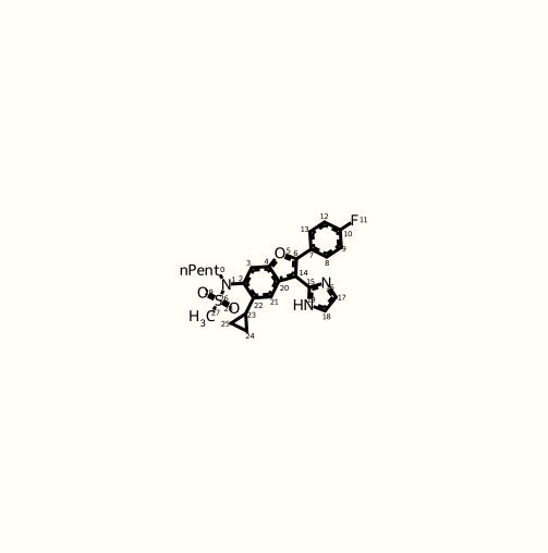 CCCCCN(c1cc2oc(-c3ccc(F)cc3)c(-c3ncc[nH]3)c2cc1C1CC1)S(C)(=O)=O